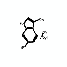 CC(=O)O.Oc1c[nH]c2cc(Br)ccc12